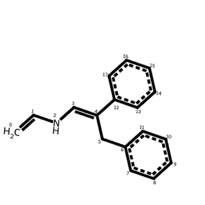 C=CN/C=C(\Cc1ccccc1)c1ccccc1